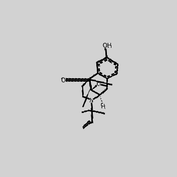 C=CC(C)(C)N1CC[C@]23CC(=O)C[C@@H](C)[C@@]2(OC)[C@H]1Cc1ccc(O)cc13